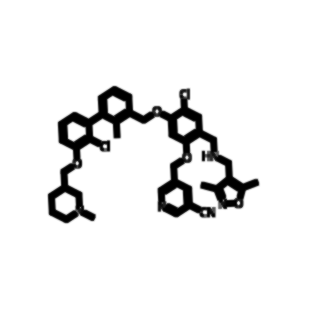 Cc1noc(C)c1CNCc1cc(Cl)c(OCc2cccc(-c3cccc(OCC4CCCN(C)C4)c3Cl)c2C)cc1OCc1cncc(C#N)c1